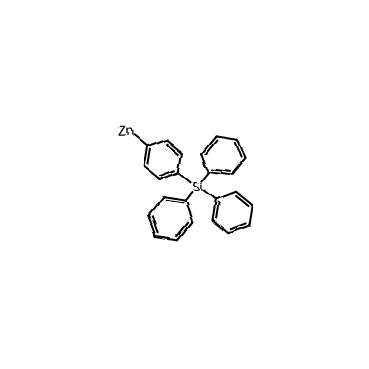 [Zn][c]1ccc([Si](c2ccccc2)(c2ccccc2)c2ccccc2)cc1